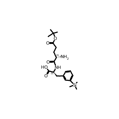 CC(C)(C)OC(=O)CC[C@H](N)C(=O)N[C@@H](Cc1cccc([Si](C)(C)C)c1)C(=O)O